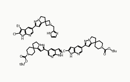 CC(C)(C)OC(=O)N1CCC2(CC1)CCn1nc(-c3cnc4[nH]ccc4c3)cc12.CCc1c(Cl)[nH]c2ncc(-c3cc4n(n3)CCC43CN(Cc4ncc[nH]4)C3)cc12.Cc1cc2cc(-c3cc4n(n3)CCC43CCN(C(=O)OC(C)(C)C)CC3)cnc2[nH]1